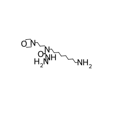 NCCCCCCCCN(CCCN1CCOCC1)C(=O)NN